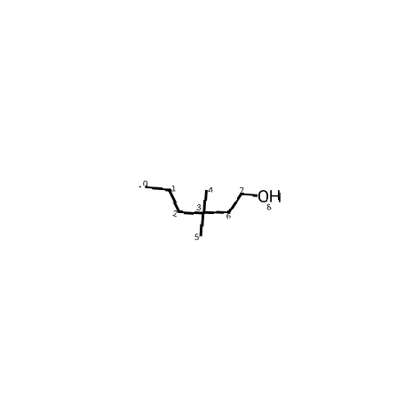 [CH2]CCC(C)(C)CCO